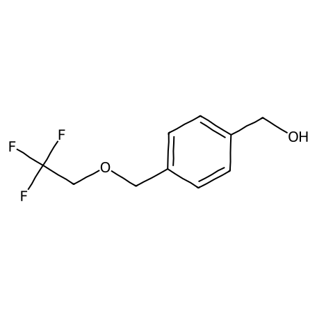 OCc1ccc(COCC(F)(F)F)cc1